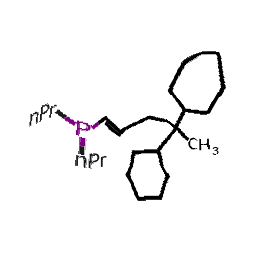 CCCP(C=CCC(C)(C1CCCCC1)C1CCCCC1)CCC